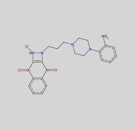 O=C1C2=C(C(=O)c3ccccc31)[NH+]([O-])N2CCCN1CCN(c2ccccc2[N+](=O)[O-])CC1